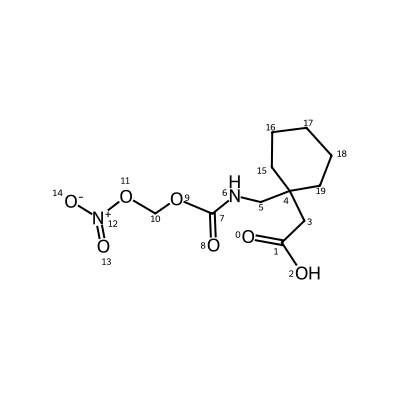 O=C(O)CC1(CNC(=O)OCO[N+](=O)[O-])CCCCC1